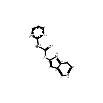 O=C(Nc1ncccn1)OC1=CC2=CN=CCC2=N1